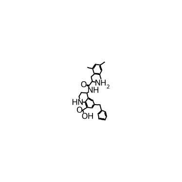 Cc1cc(C)c(CC(N)C(=O)NC2CCNc3c(C(=O)O)cc(Cc4ccccc4)cc32)c(C)c1